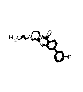 C=CCN1CCn2c(nc3cc(-c4cccc(F)c4)ccc3c2=O)C1